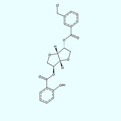 CC(=O)Oc1ccccc1C(=O)O[C@H]1CO[C@H]2[C@@H]1OC[C@H]2OC(=O)c1cccc(CCl)c1